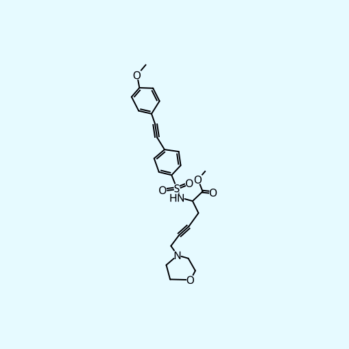 COC(=O)C(CC#CCN1CCOCC1)NS(=O)(=O)c1ccc(C#Cc2ccc(OC)cc2)cc1